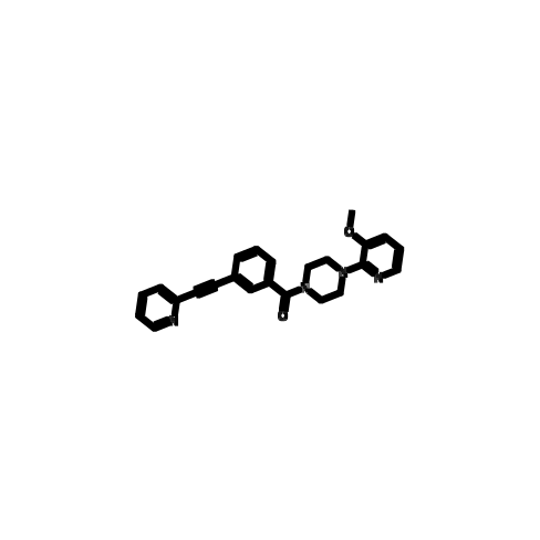 COc1cccnc1N1CCN(C(=O)c2cccc(C#Cc3ccccn3)c2)CC1